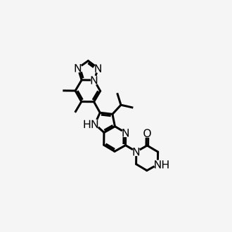 Cc1c(-c2[nH]c3ccc(N4CCNCC4=O)nc3c2C(C)C)cn2ncnc2c1C